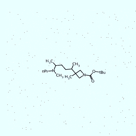 CCCN(C)C(C)CCC(C)C1(C)CN(C(=O)OC(C)(C)C)C1